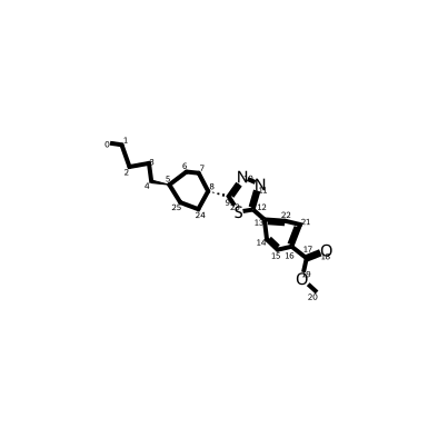 CCCCC[C@H]1CC[C@H](c2nnc(-c3ccc(C(=O)OC)cc3)s2)CC1